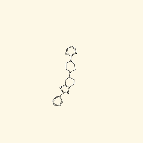 c1ccc(-n2cc3c(n2)CCC(N2CCN(c4ncccn4)CC2)C3)nc1